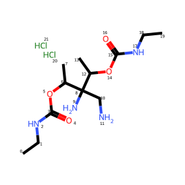 CCNC(=O)OC(C)C(N)(CN)C(C)OC(=O)NCC.Cl.Cl